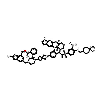 COc1cc(CN2CCN(C3CC4(C3)CN(c3ccc(C(=O)NS(=O)(=O)c5ccc(NCC6CCC(C)(O)CC6)c([N+](=O)[O-])c5)c(N5c6cc7cc[nH]c7nc6O[C@H]6COCC[C@@H]65)c3)C4)[C@H](c3ccccc3C(C)C)C2)cc2cc(C)oc12